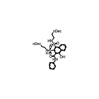 CCCCCCCCCCCCNS(=O)(=O)c1c(C(=O)Nc2ccccc2)c(O)c2ccccc2c1S(=O)(=O)NCCCCCCCCCCCC